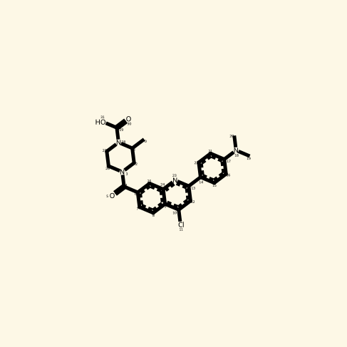 CC1CN(C(=O)c2ccc3c(Cl)cc(-c4ccc(N(C)C)cc4)nc3c2)CCN1C(=O)O